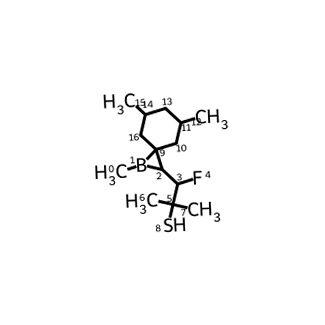 CB1C(C(F)C(C)(C)S)C12CC(C)CC(C)C2